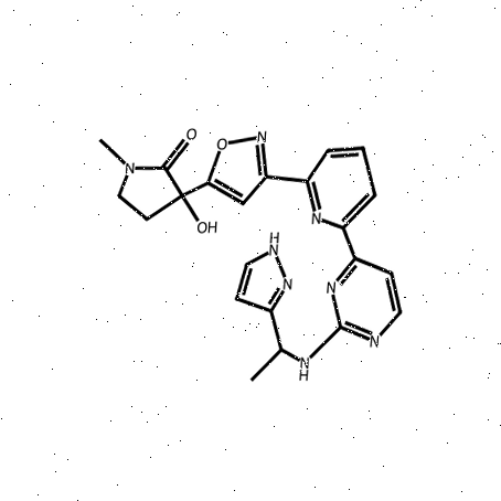 CC(Nc1nccc(-c2cccc(-c3cc(C4(O)CCN(C)C4=O)on3)n2)n1)c1cc[nH]n1